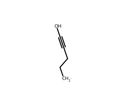 [CH2]CCC#CO